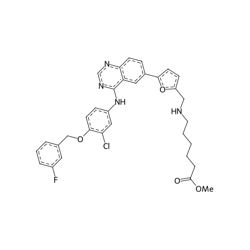 COC(=O)CCCCCNCc1ccc(-c2ccc3ncnc(Nc4ccc(OCc5cccc(F)c5)c(Cl)c4)c3c2)o1